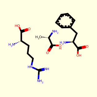 C[C@H](N)C(=O)O.N=C(N)NCCC[C@H](N)C(=O)O.N[C@@H](Cc1ccccc1)C(=O)O